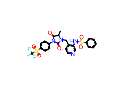 CC1C(=O)N(c2ccc(S(=O)(=O)C(F)(F)F)cc2)C(=O)N1Cc1ccncc1NS(=O)(=O)c1ccccc1